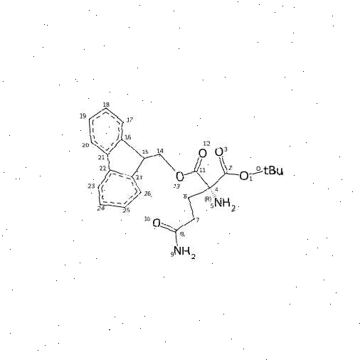 CC(C)(C)OC(=O)[C@@](N)(CCC(N)=O)C(=O)OCC1c2ccccc2-c2ccccc21